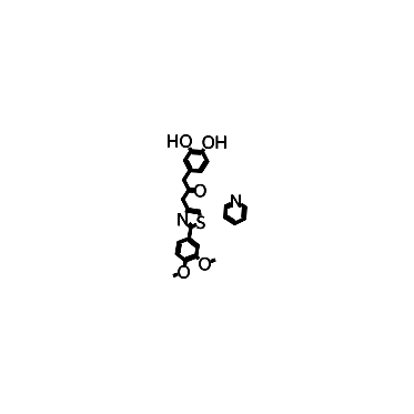 COc1ccc(-c2nc(CC(=O)Cc3ccc(O)c(O)c3)cs2)cc1OC.c1ccncc1